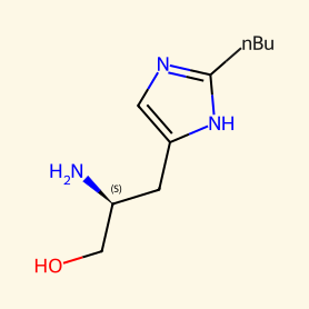 CCCCc1ncc(C[C@H](N)CO)[nH]1